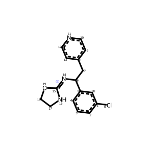 Clc1cccc(C(Cc2ccncc2)/N=C2\NCCO2)c1